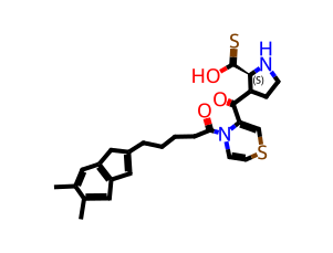 Cc1cc2c(cc1C)CC(CCCCC(=O)N1C=CSC=C1C(=O)C1CCN[C@@H]1C(O)=S)=C2